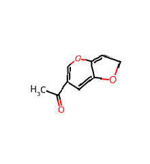 CC(=O)C1=COC2=CCOC2=C1